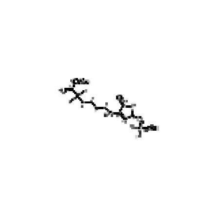 COC(=O)C(C)(C)CCCCSC1=CC(O[Si](C)(C)C(C)(C)C)CC1=O